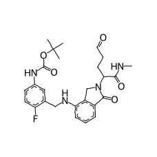 CNC(=O)C(CCC=O)N1Cc2c(NCc3cc(NC(=O)OC(C)(C)C)ccc3F)cccc2C1=O